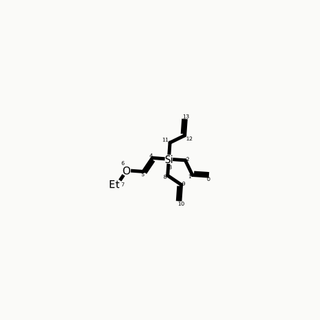 C=CC[Si](C=COCC)(CC=C)CC=C